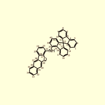 c1ccc2c(c1)-c1ccccc1C21c2ccccc2-c2c(Nc3cccc4c3oc3cc5ccccc5cc34)cccc21